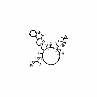 Cc1nc2ccccc2c2c1O[C@]1(CC2)C[C@H]2C(=O)N[C@]3(C(=O)NS(=O)(=O)C4(C)CC4)C[C@H]3C=CCCCCC[C@H](NC(=O)NC(C)C)C(=O)N2C1